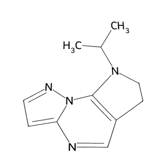 CC(C)N1CCc2cnc3ccnn3c21